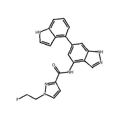 O=C(Nc1cc(-c2cccc3[nH]ccc23)cc2[nH]ncc12)c1ccn(CCF)n1